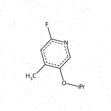 Cc1cc(F)ncc1OC(C)C